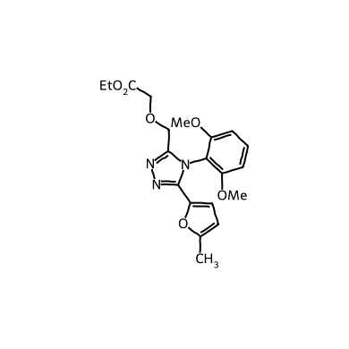 CCOC(=O)COCc1nnc(-c2ccc(C)o2)n1-c1c(OC)cccc1OC